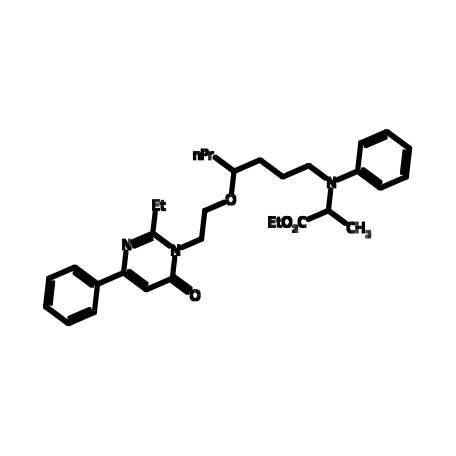 CCCC(CCCN(c1ccccc1)C(C)C(=O)OCC)OCCn1c(CC)nc(-c2ccccc2)cc1=O